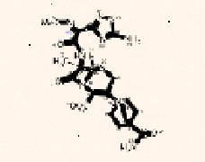 CO/N=C(\C(=O)N[C@]1(C)C(=O)N2C(C(=O)[O-])=C([N+]34CCC(C(N)=O)(CC3)CC4)CS[C@H]21)c1nsc(N)n1